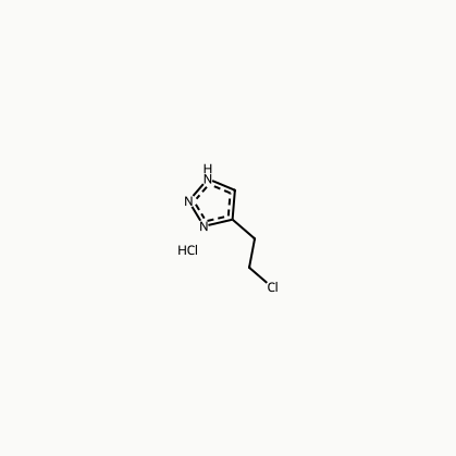 Cl.ClCCc1c[nH]nn1